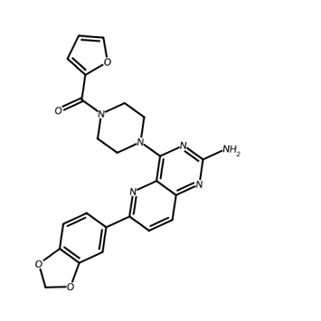 Nc1nc(N2CCN(C(=O)c3ccco3)CC2)c2nc(-c3ccc4c(c3)OCO4)ccc2n1